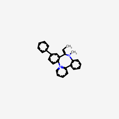 C/C=C1/c2cc(-c3ccccc3)ccc2-[n+]2ccccc2-c2ccccc2N1C